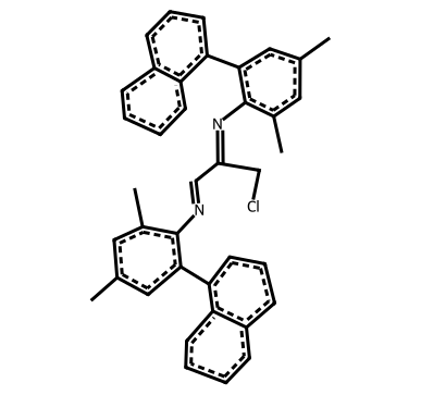 Cc1cc(C)c(N=CC(CCl)=Nc2c(C)cc(C)cc2-c2cccc3ccccc23)c(-c2cccc3ccccc23)c1